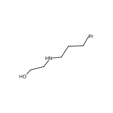 CC(C)CCCNCCO